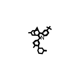 C=C1CCCC(c2cc(-c3nc4ccc(C(C)(C)C)cc4c4c3C3CC(C)CC5(C3)CC45)ccc2C)C1